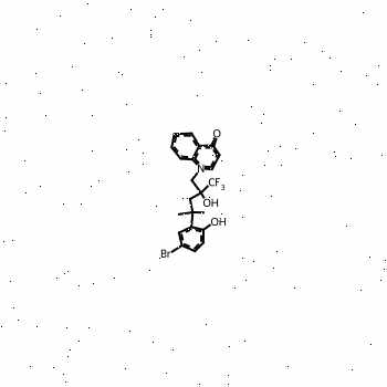 CC(C)(CC(O)(Cn1ccc(=O)c2ccccc21)C(F)(F)F)c1cc(Br)ccc1O